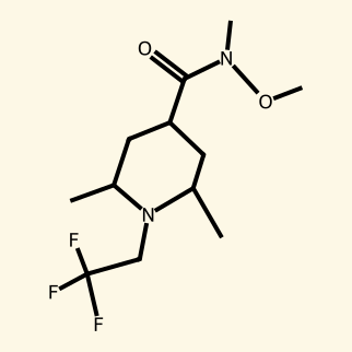 CON(C)C(=O)C1CC(C)N(CC(F)(F)F)C(C)C1